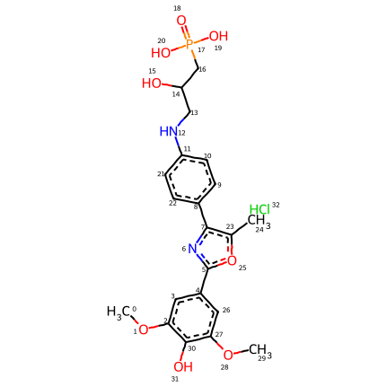 COc1cc(-c2nc(-c3ccc(NCC(O)CP(=O)(O)O)cc3)c(C)o2)cc(OC)c1O.Cl